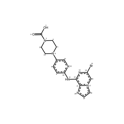 O=C(O)N1CCN(c2ccc(Nc3nc(Br)cn4ccnc34)nc2)CC1